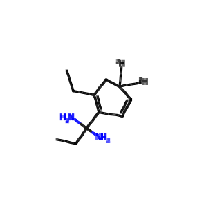 [2H]C1([2H])C=CC(C(N)(N)CC)=C(CC)C1